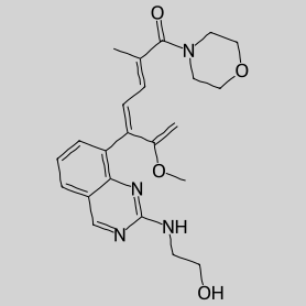 C=C(OC)/C(=C\C=C(/C)C(=O)N1CCOCC1)c1cccc2cnc(NCCO)nc12